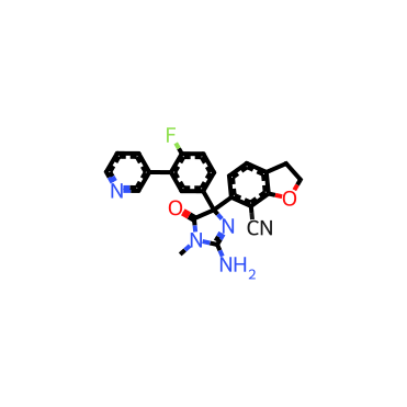 CN1C(=O)C(c2ccc(F)c(-c3cccnc3)c2)(c2ccc3c(c2C#N)OCC3)N=C1N